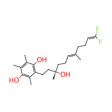 C/C(=C\CC[C@](C)(O)CCc1c(C)c(O)c(C)c(C)c1O)CCC=C(F)F